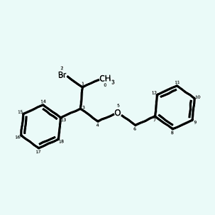 CC(Br)C(COCc1ccccc1)c1ccccc1